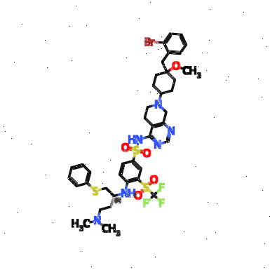 COC1(Cc2ccccc2Br)CCC(N2CCc3c(ncnc3NS(=O)(=O)c3ccc(N[C@H](CCN(C)C)CSc4ccccc4)c(S(=O)(=O)C(F)(F)F)c3)C2)CC1